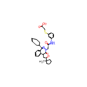 CC1(C(=O)CC2C(=O)N(CC(=O)Nc3cccc(SCC(=O)O)c3)N=C(C3CCCCC3)c3ccccc32)CCCC1